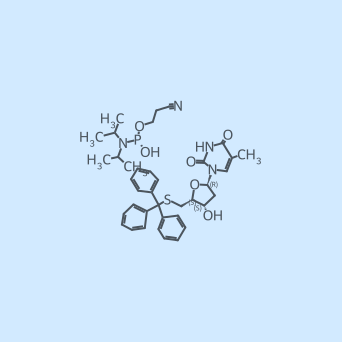 CC(C)N(C(C)C)P(O)OCCC#N.Cc1cn([C@H]2C[C@H](O)[C@@H](CSC(c3ccccc3)(c3ccccc3)c3ccccc3)O2)c(=O)[nH]c1=O